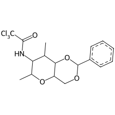 CC1OC2COC(c3ccccc3)OC2C(C)C1NC(=O)C(Cl)(Cl)Cl